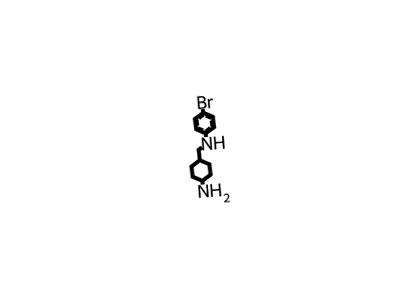 NC1CCC(CNc2ccc(Br)cc2)CC1